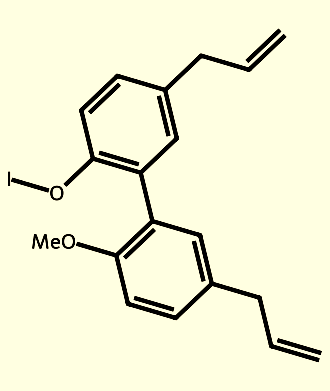 C=CCc1ccc(OC)c(-c2cc(CC=C)ccc2OI)c1